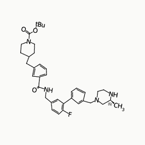 C[C@H]1CN(Cc2cccc(-c3cc(CNC(=O)c4cccc(CC5CCN(C(=O)OC(C)(C)C)CC5)c4)ccc3F)c2)CCN1